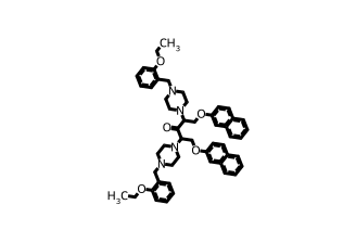 CCOc1ccccc1CN1CCN(C(COc2ccc3ccccc3c2)C(=O)C(COc2ccc3ccccc3c2)N2CCN(Cc3ccccc3OCC)CC2)CC1